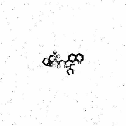 CC[Si](CC)(CC)O[C@@H](CC(=O)N1[C@@H]2CC3CC[C@]2(CS1(=O)=O)C3(C)C)c1ccc2cccnc2c1